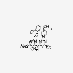 CCc1nc(Nc2nc(COc3ccccc3Cl)nc(SC)c2C#N)nc(N2CCN(C)CC2)n1